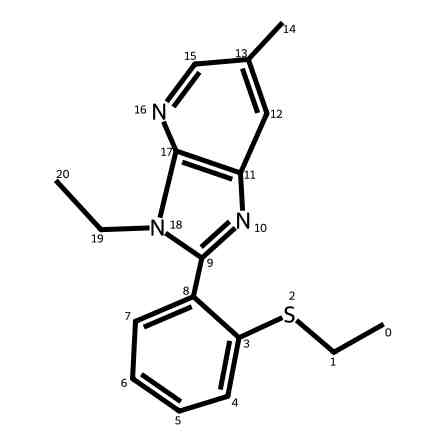 CCSc1ccccc1-c1nc2cc(C)cnc2n1CC